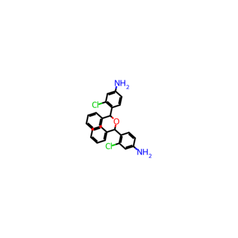 Nc1ccc(C(OC(c2ccccc2)c2ccc(N)cc2Cl)c2ccccc2)c(Cl)c1